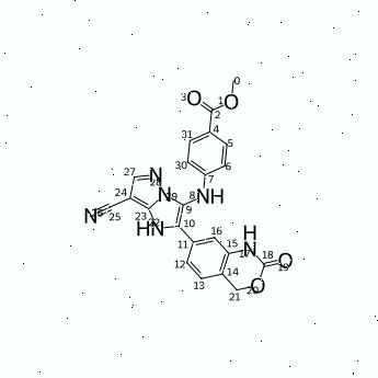 COC(=O)c1ccc(Nc2c(-c3ccc4c(c3)NC(=O)OC4)[nH]c3c(C#N)cnn23)cc1